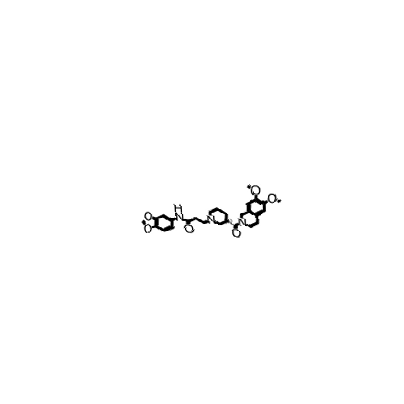 COc1cc2c(cc1OC)CN(C(=O)[C@H]1CCCN(CCC(=O)Nc3ccc4c(c3)OCO4)C1)CC2